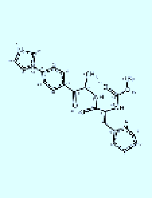 CC(NC(=O)[C@H](Cc1ccccn1)NC(=O)OC(C)(C)C)C(=O)c1ccc(-n2ccnc2)cc1